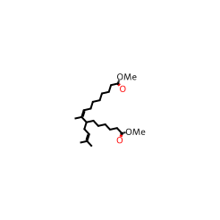 COC(=O)CCCCCCC=C(C)C(CC=C(C)C)CCCCCC(=O)OC